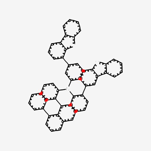 c1ccc(-c2cccc3cccc(-c4ccccc4N(c4cccc(-c5cccc6c5sc5ccccc56)c4)c4ccccc4-c4ccc5oc6ccccc6c5c4)c23)cc1